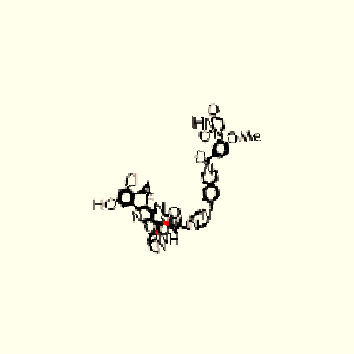 COc1ccc(C(=O)N2CCC3(CCC(CN4CCN(CC5(COc6nc(C7CC8CCN(N7)C8C(=O)OC(C)(C)C)c7cnc(-c8cc(O)cc(Cl)c8C8CC8)c(F)c7n6)CC5)CC4)CC3)CC2)cc1N1CCC(=O)NC1=O